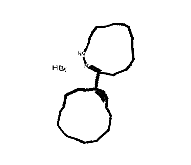 Br.C1=C(C2=NNCCCCCCCC2)CCCCCCCCC1